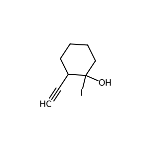 C#CC1CCCCC1(O)I